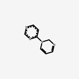 [c]1nccc(N2C=CC=NC2)n1